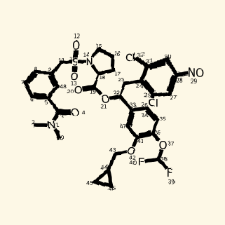 CN(C)C(=O)c1cccc(CS(=O)(=O)N2CCC[C@H]2C(=O)O[C@@H](Cc2c(Cl)cc(N=O)cc2Cl)c2ccc(OC(F)F)c(OCC3CC3)c2)c1